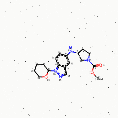 CC(C)(C)OC(=O)N1CC[C@H](Nc2ccc3c(cnn3C3CCCCO3)c2)C1